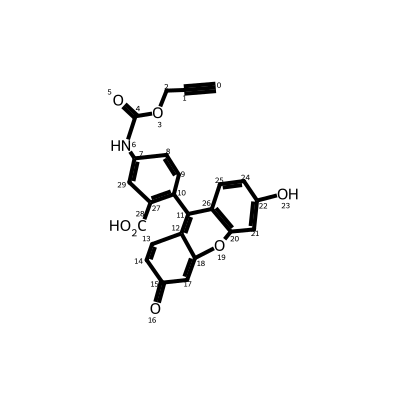 C#CCOC(=O)Nc1ccc(-c2c3ccc(=O)cc-3oc3cc(O)ccc23)c(C(=O)O)c1